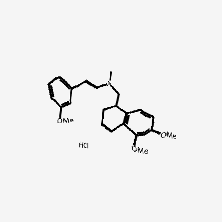 COc1cccc(CCN(C)CC2CCCc3c2ccc(OC)c3OC)c1.Cl